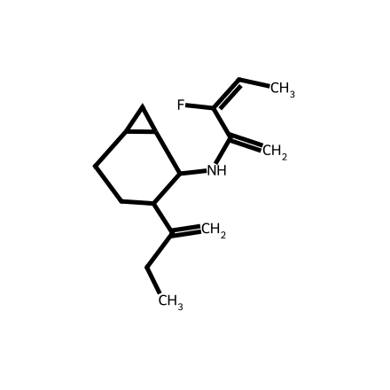 C=C(NC1C(C(=C)CC)CCC2CC21)/C(F)=C\C